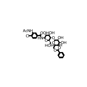 CC(=O)Nc1cc(C(=O)N[C@@H]2O[C@H](CO)[C@@H](O[C@H]3O[C@@H]4COC(c5ccccc5)O[C@H]4[C@H](O)[C@H]3O)[C@H](O)[C@H]2O)ccc1Cl